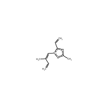 C=C/C(C)=C\n1nc(C)nc1C=C